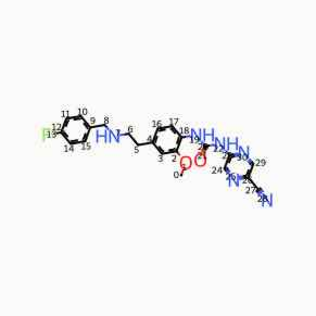 COc1cc(CCNCc2ccc(F)cc2)ccc1NC(=O)Nc1cnc(C#N)cn1